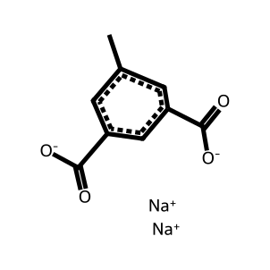 Cc1cc(C(=O)[O-])cc(C(=O)[O-])c1.[Na+].[Na+]